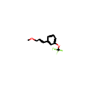 [CH2]OC/C=C/c1cccc(OC(F)(F)F)c1